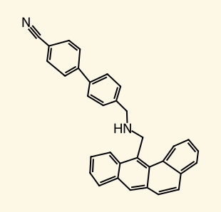 N#Cc1ccc(-c2ccc(CNCc3c4ccccc4cc4ccc5ccccc5c34)cc2)cc1